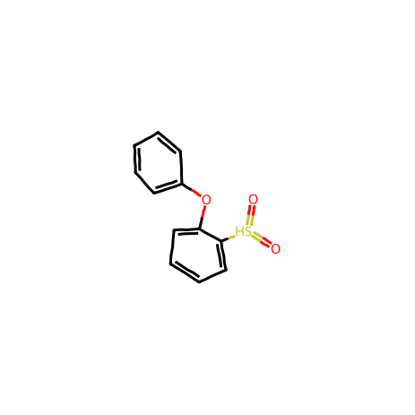 O=[SH](=O)c1ccccc1Oc1ccccc1